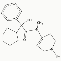 CCN1CC=C(N(C)C(=O)C(O)(c2ccccc2)C2CCCCC2)CC1